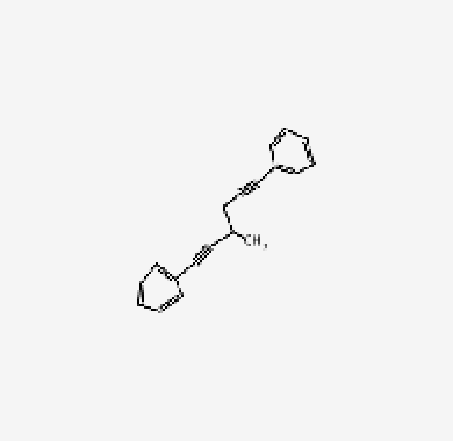 CC(C#Cc1ccccc1)CC#Cc1ccccc1